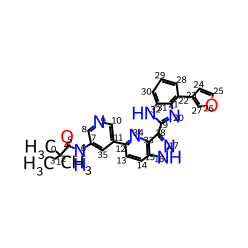 CC(C)(C)C(=O)Nc1cncc(-c2ccc3[nH]nc(-c4nc5c(-c6ccoc6)cccc5[nH]4)c3n2)c1